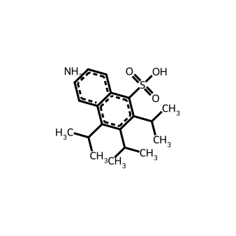 CC(C)c1c(C(C)C)c(S(=O)(=O)O)c2ccccc2c1C(C)C.N